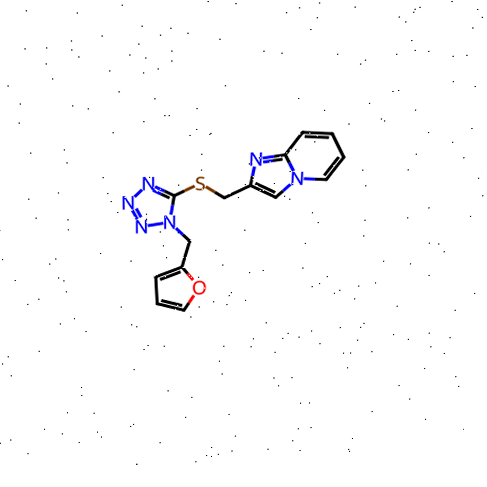 c1coc(Cn2nnnc2SCc2cn3ccccc3n2)c1